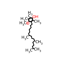 COc1c(C)c(C)c(O)c(C)c1CCCCCC[C@H](C)CCC[C@H](C)CCCC(C)C